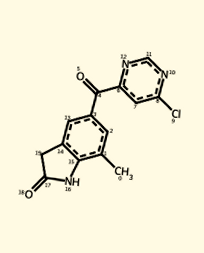 Cc1cc(C(=O)c2cc(Cl)ncn2)cc2c1NC(=O)C2